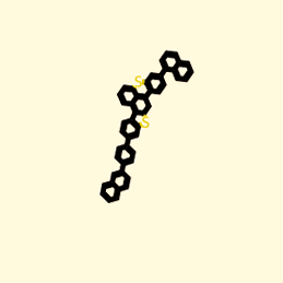 c1cc2c3c(c1)=C1c4ccc(-c5ccc(-c6ccc7ccccc7c6)cc5)cc4SC1CC=3c1ccc(-c3cccc4ccccc34)cc1S2